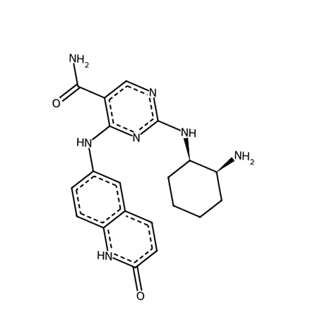 NC(=O)c1cnc(N[C@@H]2CCCC[C@@H]2N)nc1Nc1ccc2[nH]c(=O)ccc2c1